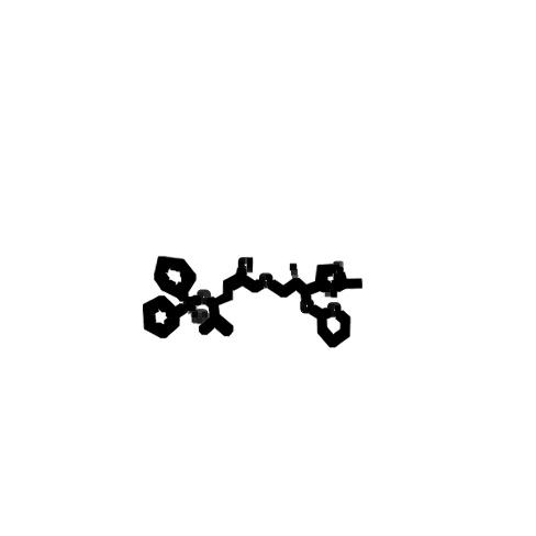 C=C(C)[C@H](C/C=C(/Cl)COC[C@H](C)C(OC1CCCCO1)c1csc(C)n1)O[Si](c1ccccc1)(c1ccccc1)C(C)(C)C